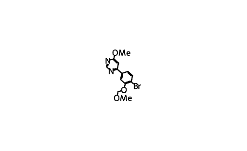 COCOc1cc(-c2cc(OC)ncn2)ccc1Br